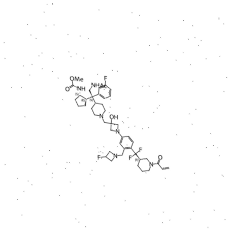 C=CC(=O)N1CCC[C@@H](C(F)(F)c2ccc(N3CC(O)(CN4CCC([C@@](CNC(C)=O)(c5cccc(F)c5)[C@H]5CCC[C@@H]5NC(=O)OC)CC4)C3)cc2CN2CC(F)C2)C1